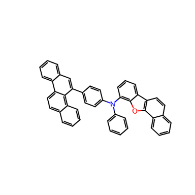 c1ccc(N(c2ccc(-c3cc4ccccc4c4ccc5ccccc5c34)cc2)c2cccc3c2oc2c4ccccc4ccc32)cc1